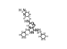 Cc1nc(N)ccc1CNC(=O)Cn1c(Cc2ccccc2)cnc(NCCc2ccccc2)c1=O